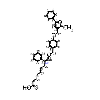 Cc1oc(-c2ccccc2)nc1COc1ccc(CO/N=C(/CCCCCCC(=O)O)c2ccccc2)cc1